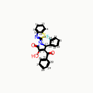 O=C(C1=C(O)C(=O)N(c2nc3ccccc3s2)C1c1ccccc1F)c1ccccc1